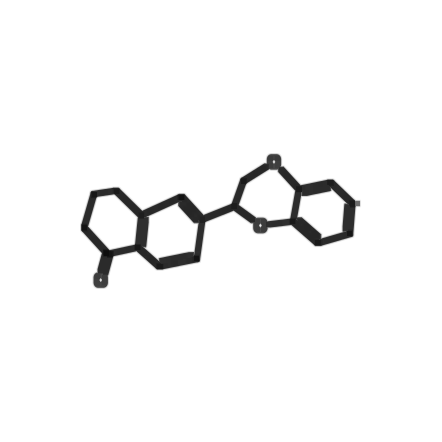 O=C1CCCc2cc(C3COc4c[c]ccc4O3)ccc21